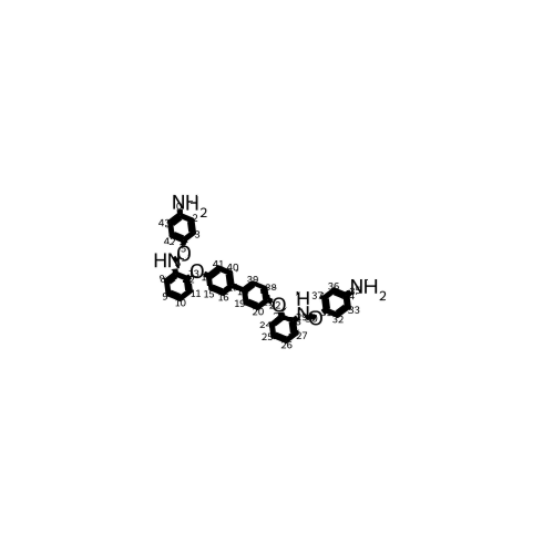 Nc1ccc(ONc2ccccc2Oc2ccc(-c3ccc(Oc4ccccc4NOc4ccc(N)cc4)cc3)cc2)cc1